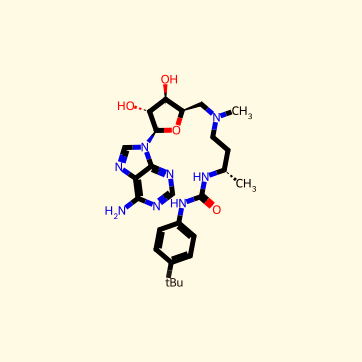 C[C@@H](CCN(C)C[C@H]1O[C@@H](n2cnc3c(N)ncnc32)[C@H](O)[C@H]1O)NC(=O)Nc1ccc(C(C)(C)C)cc1